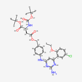 CCOc1ccc(Cl)cc1-c1cc(Nc2ccc(COC(=O)C[C@H](NC(=O)OC(C)(C)C)C(=O)OC(C)(C)C)cc2)nc(N)n1